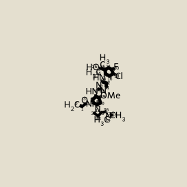 C=CC(=O)Nc1cc(Nc2nccc(Nc3cc(Cl)c(F)cc3C(C)(C)O)n2)c(OC)cc1N1CCC1CN(C)C